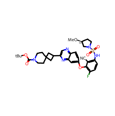 CO[C@H]1CCN(S(=O)(=O)Nc2ccc(F)c(Oc3ccc4ncc(C5CC6(CCN(C(=O)OC(C)(C)C)CC6)C5)nc4c3)c2C#N)C1